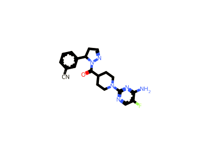 N#Cc1cccc(C2CC=NN2C(=O)C2CCN(c3ncc(F)c(N)n3)CC2)c1